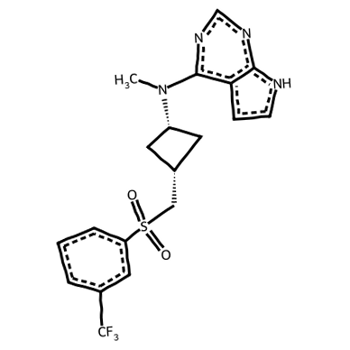 CN(c1ncnc2[nH]ccc12)[C@H]1C[C@@H](CS(=O)(=O)c2cccc(C(F)(F)F)c2)C1